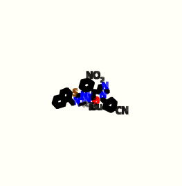 CC[C@H](C)[C@@H](CN(Cc1cccc2ccccc12)C(=S)Nc1ccc([N+](=O)[O-])cc1)NC(=O)Cc1cncn1Cc1ccc(C#N)cc1